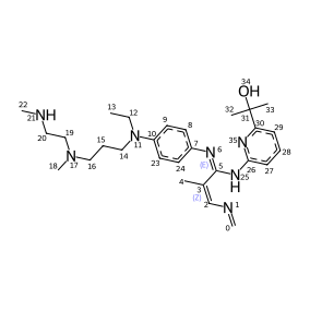 C=N/C=C(C)\C(=N/c1ccc(N(CC)CCCN(C)CCNC)cc1)Nc1cccc(C(C)(C)O)n1